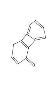 O=C1C=CCC2=C1c1ccccc12